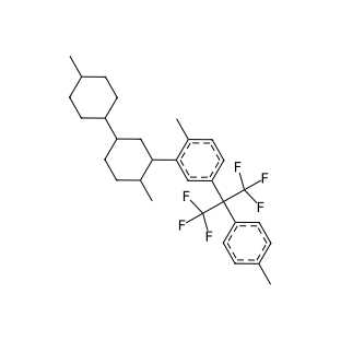 Cc1ccc(C(c2ccc(C)c(C3CC(C4CCC(C)CC4)CCC3C)c2)(C(F)(F)F)C(F)(F)F)cc1